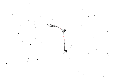 CCCCCCCCC=CCCCCCCCCCCCCCC(=O)OCCCCCCCCCCCCCCCCCCCCCCCCCCCCCCO